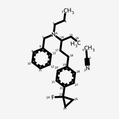 CC#N.CCCN(Cc1ccccc1)C(CC)CCc1ccc(C2(F)CC2)cc1